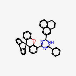 C1=Cc2cc(C3N=C(c4cccc5c4Oc4ccccc4C54c5ccccc5-c5ccccc54)N=C(c4ccccc4)N3)cc3cccc(c23)C1